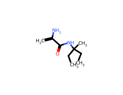 C=C(N)C(=O)NC(C)(CC)CC